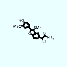 CCC(C(N)=O)c1ccc2oc(-c3ccc(O)c(OC)c3)c(SC)c2c1